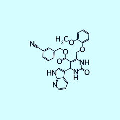 COc1ccccc1OCC1=C(C(=O)OCc2cccc(C#N)c2)C(c2c[nH]c3ncccc23)NC(=O)N1